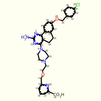 Nc1nc2c(c(N3CCN(CCOCc4cccc(C(=O)O)n4)CC3)n1)CCc1cc(OCc3ccc(Cl)cc3)ccc1-2